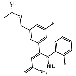 C=C(N)/C=C(/c1cc(F)cc(CO[C@H](C)C(F)(F)F)c1)N(N)c1ccccc1F